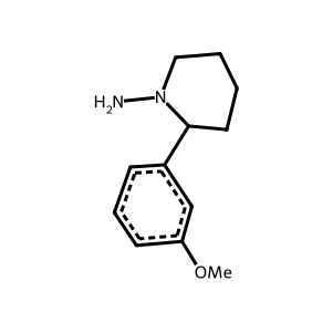 COc1cccc(C2CCCCN2N)c1